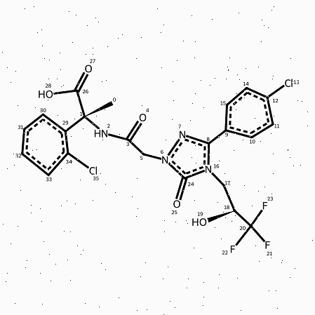 C[C@](NC(=O)Cn1nc(-c2ccc(Cl)cc2)n(C[C@H](O)C(F)(F)F)c1=O)(C(=O)O)c1ccccc1Cl